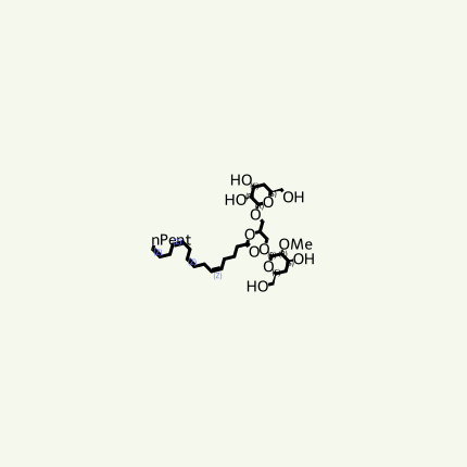 CCCCC/C=C\C/C=C\C/C=C\C/C=C\CCCC(=O)OC(CO[C@@H]1O[C@H](CO)C[C@H](O)[C@H]1O)CO[C@@H]1O[C@H](CO)C[C@H](O)[C@H]1OC